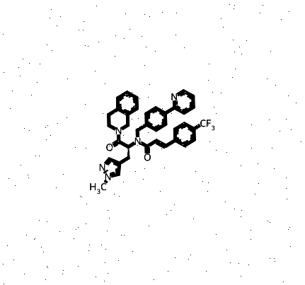 Cn1cc(C[C@@H](C(=O)N2CCc3ccccc3C2)N(Cc2ccc(-c3ccccn3)cc2)C(=O)/C=C/c2ccc(C(F)(F)F)cc2)cn1